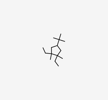 CCC1(C)CC(C(C)(C)C)CC1(C)CC